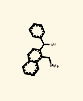 CCCCC(c1ccccc1)c1ccc2ccccc2c1CNC